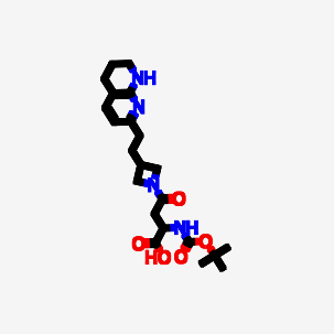 CC(C)(C)OC(=O)NC(CC(=O)N1CC(CCc2ccc3c(n2)NCCC3)C1)C(=O)O